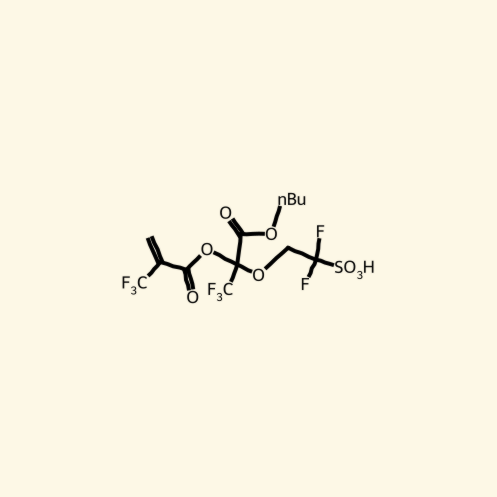 C=C(C(=O)OC(OCC(F)(F)S(=O)(=O)O)(C(=O)OCCCC)C(F)(F)F)C(F)(F)F